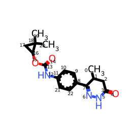 CC1CC(=O)NN=C1c1ccc(NC(=O)OC2CC2(C)C)cc1